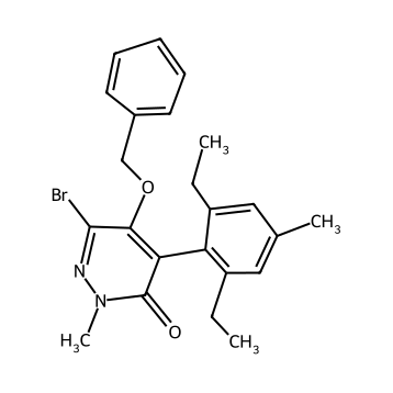 CCc1cc(C)cc(CC)c1-c1c(OCc2ccccc2)c(Br)nn(C)c1=O